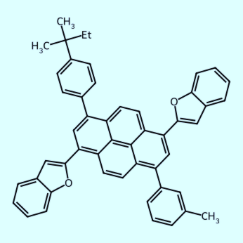 CCC(C)(C)c1ccc(-c2cc(-c3cc4ccccc4o3)c3ccc4c(-c5cccc(C)c5)cc(-c5cc6ccccc6o5)c5ccc2c3c45)cc1